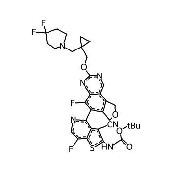 CC(C)(C)OC(=O)Nc1sc2c(F)cnc(-c3c4c(c5cnc(OCC6(CN7CCC(F)(F)CC7)CC6)nc5c3F)COC4)c2c1C#N